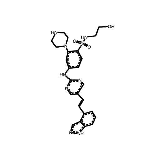 O=S(=O)(NCCO)c1ccc(Nc2ncc(C=Cc3cccc4[nH]ncc34)cn2)cc1N1CCNCC1